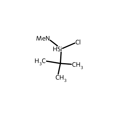 CN[SiH](Cl)C(C)(C)C